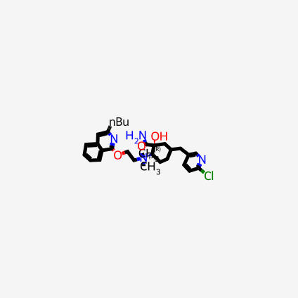 CCCCc1cc2ccccc2c(OCC[N+](C)(C)[C@H]2CCC(Cc3ccc(Cl)nc3)C[C@]2(O)C(N)=O)n1